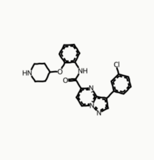 O=C(Nc1ccccc1OC1CCNCC1)c1ccn2ncc(-c3cccc(Cl)c3)c2n1